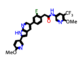 COc1ccc(-c2cc3cc(-c4ccc(CC(=O)Nc5cnc(OC)c(C(F)(F)F)c5)c(F)c4)cnc3[nH]2)cn1